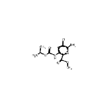 Bc1nc(C(=O)OC)c(NC(=O)OC(C)C)cc1Cl